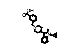 Cc1c(C2CCN(Cc3cccc(C(=O)O)c3)CC2)c2ccccc2n1C1CC1